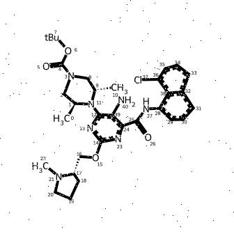 C[C@H]1CN(C(=O)OC(C)(C)C)C[C@H](C)N1c1nc(OC[C@@H]2CCCN2C)nc(C(=O)Nc2cccc3cccc(Cl)c23)c1N